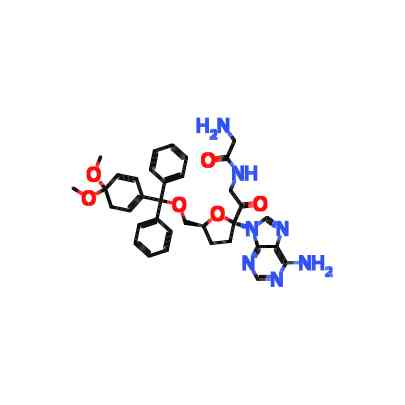 COC1(OC)C=CC(C(OC[C@@H]2CC[C@](C(=O)CNC(=O)CN)(n3cnc4c(N)ncnc43)O2)(c2ccccc2)c2ccccc2)=CC1